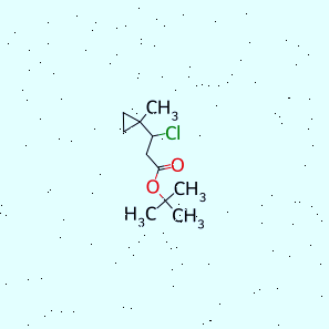 CC(C)(C)OC(=O)CC(Cl)C1(C)CC1